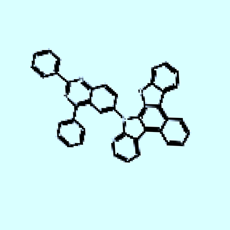 c1ccc(-c2nc(-c3ccccc3)c3cc(-n4c5ncccc5c5c6ccccc6c6c7ccccc7oc6c54)ccc3n2)cc1